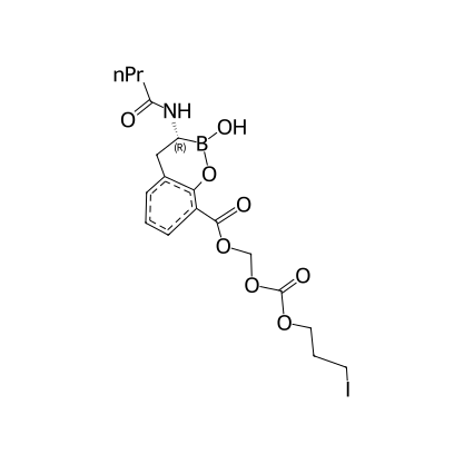 CCCC(=O)N[C@H]1Cc2cccc(C(=O)OCOC(=O)OCCCI)c2OB1O